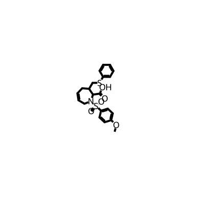 COc1ccc(S(=O)(=O)N2CC=CCC(CSc3ccccc3)C2C(=O)O)cc1